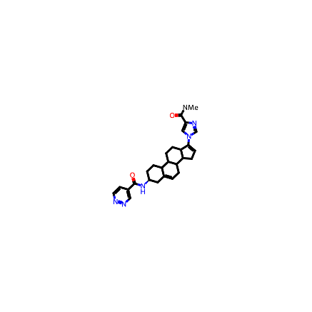 CNC(=O)c1cn(C2=CCC3C2CCC2C4CC[C@H](NC(=O)c5ccnnc5)CC4=CCC23)cn1